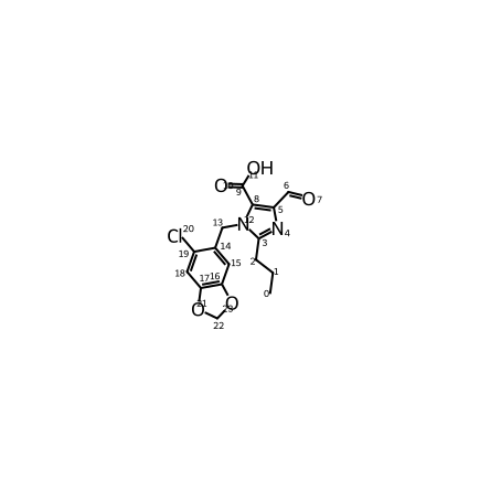 CCCc1nc(C=O)c(C(=O)O)n1Cc1cc2c(cc1Cl)OCO2